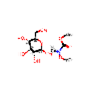 CCCON(C)C(=O)OC(C)(C)C.OC[C@H]1O[C@@H](O)[C@H](O)[C@@H](O)[C@@H]1O